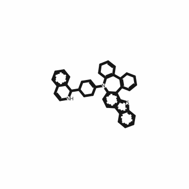 C1=CC2=C(CC1)C1=C(CCC=C1)N(C1=CCC(C3NC=Cc4ccccc43)CC1)c1ccc3c(sc4ccccc43)c12